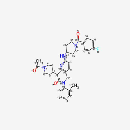 CC(=O)N1CCC(C2C(=O)N(c3ccccc3C)Cc3ccc(NC4CCN(C(=O)c5ccc(F)cc5)CC4)nc32)CC1